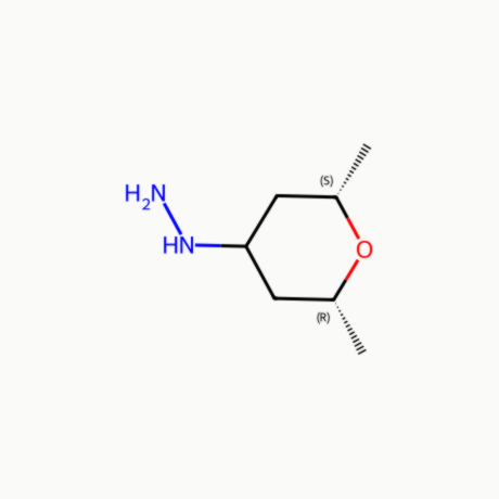 C[C@@H]1CC(NN)C[C@H](C)O1